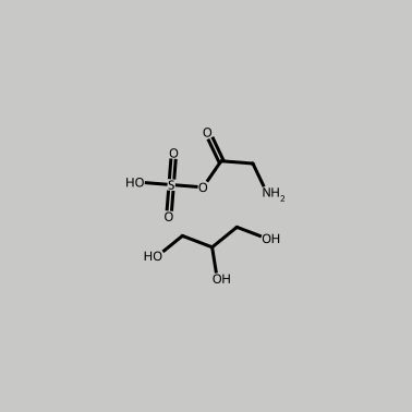 NCC(=O)OS(=O)(=O)O.OCC(O)CO